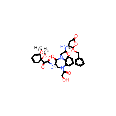 COC1=CC=CCC1(OC)C(=O)C(=O)N[C@H]1CN(C(=O)CO)c2ccccc2N(CC(=O)N[C@H]2CC(=O)OC2OCc2ccccc2)C1=O